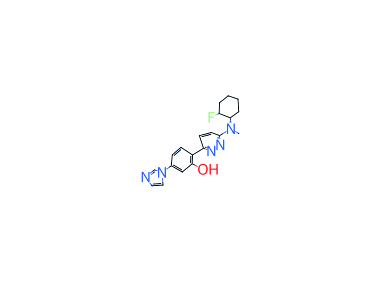 CN(c1ccc(-c2ccc(-n3ccnc3)cc2O)nn1)[C@@H]1CCCC[C@@H]1F